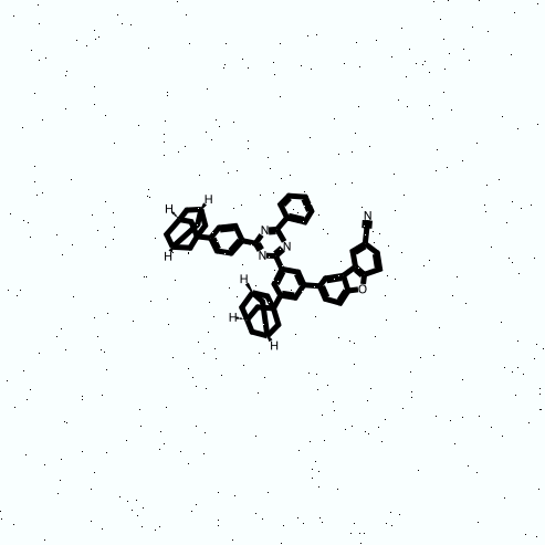 N#Cc1ccc2oc3ccc(-c4cc(-c5nc(-c6ccccc6)nc(-c6ccc(C78C[C@H]9C[C@@H](C7)C[C@@H](C8)C9)cc6)n5)cc(C56C[C@H]7C[C@@H](C5)C[C@@H](C6)C7)c4)cc3c2c1